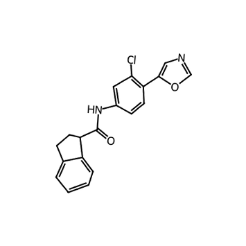 O=C(Nc1ccc(-c2cnco2)c(Cl)c1)C1CCc2ccccc21